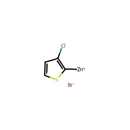 Clc1ccs[c]1[Zn+].[Br-]